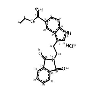 CCOC(=N)c1ccc2[nH]cc(CCN3C(=O)c4ccccc4C3=O)c2c1.Cl